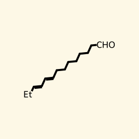 CCC=CC=CCCCCCCCC=O